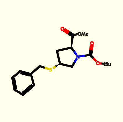 COC(=O)[C@@H]1C[C@@H](SCc2ccccc2)CN1C(=O)OC(C)(C)C